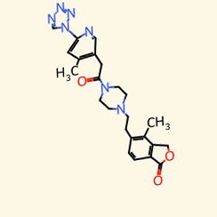 Cc1cc(-n2cnnn2)ncc1CC(=O)N1CCN(CCc2ccc3c(c2C)COC3=O)CC1